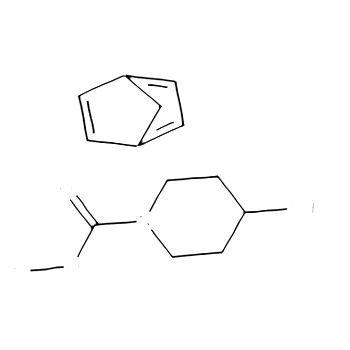 C1=CC2=CC=C1C2.CC(C)(C)OC(=O)N1CCC(C=O)CC1